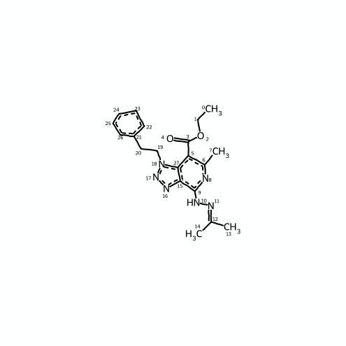 CCOC(=O)c1c(C)nc(NN=C(C)C)c2nnn(CCc3ccccc3)c12